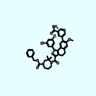 COc1cc2c(cc1-c1cncc(C(N)=O)c1)-c1c(c(C(=O)N3CCCN(C(=O)OCc4ccccc4)CC3(C)C)nn1-c1cc(Cl)cc(Cl)c1)CC2